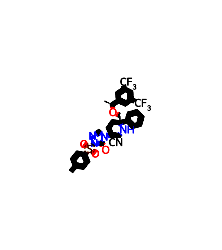 Cc1ccc(S(=O)(=O)n2ncn([C@@]3(C#N)CC[C@@](CO[C@H](C)c4cc(C(F)(F)F)cc(C(F)(F)F)c4)(c4ccccc4)NC3)c2=O)cc1